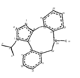 CC(C)n1nnc2c1-c1ccccc1CN(I)c1ccccc1-2